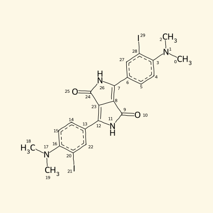 CN(C)c1ccc(C2=C3C(=O)NC(c4ccc(N(C)C)c(I)c4)=C3C(=O)N2)cc1I